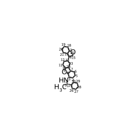 CC(Nc1cccc2c1oc1ccc(-c3coc4ccccc34)cc12)c1ccccc1